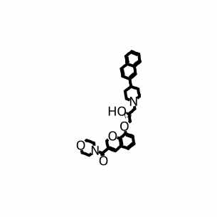 O=C(C1=Cc2cccc(OC[C@@H](O)CN3CCC(c4ccc5ccccc5c4)CC3)c2OC1)N1CCOCC1